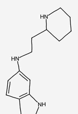 c1cc2c(cc1NCCC1CCCCN1)NCC2